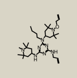 C=CCNc1nc(NC2CC(C)(C)N(C)C(C)(C)C2)nc(N(CCCC)C2CC(C)(C)N(OCC=C)C(C)(C)C2)n1